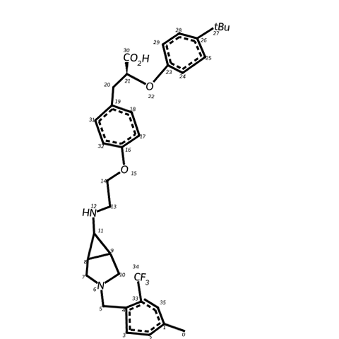 Cc1ccc(CN2CC3C(C2)C3NCCOc2ccc(C[C@H](Oc3ccc(C(C)(C)C)cc3)C(=O)O)cc2)c(C(F)(F)F)c1